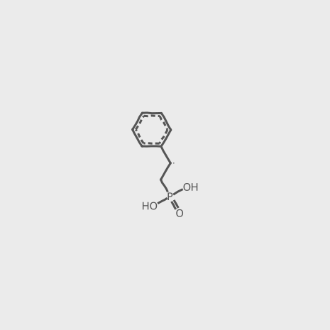 O=P(O)(O)C[CH]c1ccccc1